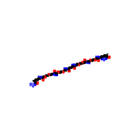 C[C@@H](CCCCNC(=O)COCCOCCNC(=O)COCCOCCNC(=O)CCCC(=O)NCCOCCOCC(=O)NCCOCCOCC(=O)NCCCC[C@H](C)C(N)=O)C(N)=O